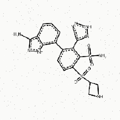 Nc1n[nH]c2c(-c3ccc(S(=O)(=O)C4CNC4)c(S(N)(=O)=O)c3-c3nn[nH]n3)cccc12